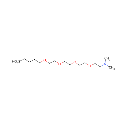 CN(C)CCOCCOCCOCCOCCCCS(=O)(=O)O